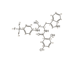 O=C(NC(Cc1c[nH]c2ccccc12)C(O)Nc1ccc(C(F)(F)F)cc1)c1cc(Cl)ccc1O